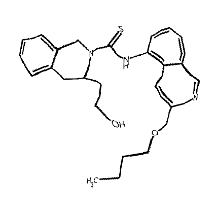 CCCCOCc1cc2c(NC(=S)N3Cc4ccccc4CC3CCO)cccc2cn1